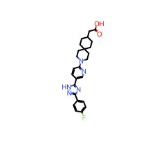 O=C(O)CC1CCC2(CC1)CCN(c1ccc(-c3nc(-c4ccc(F)cc4)n[nH]3)cn1)CC2